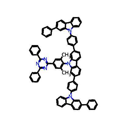 Cc1cc(-c2nc(-c3ccccc3)nc(-c3ccccc3)n2)cc(C)c1-n1c2cc(-c3ccc(-n4c5ccccc5c5ccc(-c6ccccc6)cc54)cc3)ccc2c2ccc(-c3ccc(-n4c5ccccc5c5ccc(-c6ccccc6)cc54)cc3)cc21